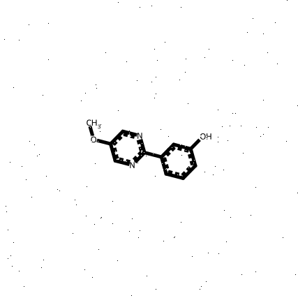 COc1cnc(-c2cccc(O)c2)nc1